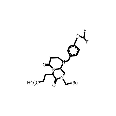 CCC(C)CN1CC2N(Cc3ccc(OC(F)F)cc3)CCC(=O)N2C(CCC(=O)O)C1=O